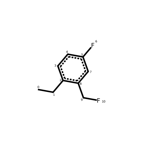 CCc1ccc(F)cc1CF